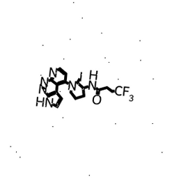 O=C(CCC(F)(F)F)NC1CCCN(c2ccnc3nnc4[nH]ccc4c23)C1I